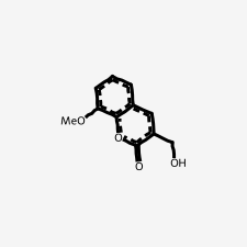 COc1cccc2cc(CO)c(=O)oc12